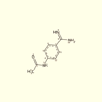 CC(=O)Nc1ccc(C(=N)N)cc1